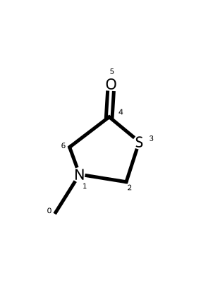 CN1CSC(=O)C1